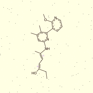 CC/C(O)=C\C=C(/C)Nc1cc(C)c(C)c(-c2cccnc2OC)n1